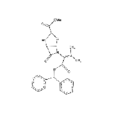 COC(=O)C1NC2C(=O)N(C(C(=O)OC(c3ccccc3)c3ccccc3)=C(C)C)C2O1